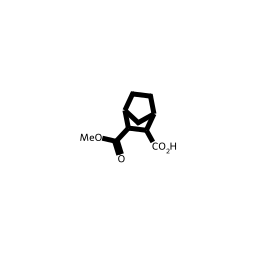 COC(=O)C1C2CCC(C2)C1C(=O)O